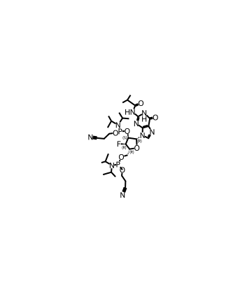 CC(C)C(=O)Nc1nc2c(ncn2[C@@H]2O[C@H](COP(OCCC#N)N(C(C)C)C(C)C)[C@@H](F)[C@H]2OP(OCCC#N)N(C(C)C)C(C)C)c(=O)[nH]1